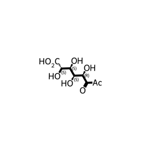 CC(=O)C(=O)[C@H](O)[C@@H](O)[C@H](O)[C@H](O)C(=O)O